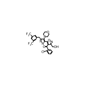 O=C(c1ccccc1Cl)c1c(CO)noc1-c1nnn(Cc2cc(C(F)(F)F)cc(C(F)(F)F)c2)c1N1CCOCC1